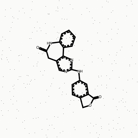 O=C1Cc2cnc(Nc3ccc4c(c3)C(=O)OC4)nc2-c2ccccc2N1